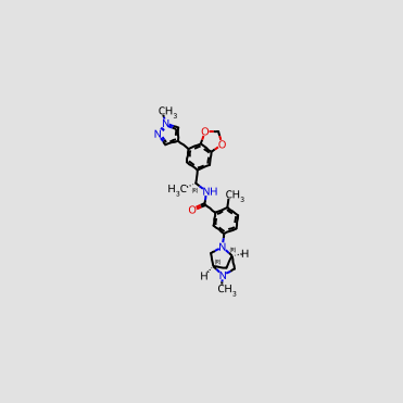 Cc1ccc(N2C[C@H]3C[C@@H]2CN3C)cc1C(=O)N[C@H](C)c1cc2c(c(-c3cnn(C)c3)c1)OCO2